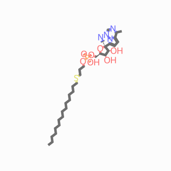 CCCCCCCCCCCCCCCCSCCCOP(=O)(O)OC[C@H]1O[C@@](C#N)(c2ccc3c(C)ncnn23)[C@H](O)[C@@H]1O